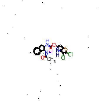 O=C(N[C@@H]1Cc2ccccc2[C@H]1NC(=O)C(F)(F)F)Oc1cc2sc(Cl)c(Cl)c2[nH]1